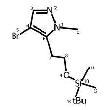 Cn1ncc(Br)c1CCO[Si](C)(C)C(C)(C)C